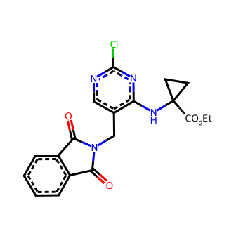 CCOC(=O)C1(Nc2nc(Cl)ncc2CN2C(=O)c3ccccc3C2=O)CC1